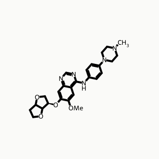 COc1cc2c(Nc3ccc(N4CCN(C)CC4)cc3)ncnc2cc1O[C@@H]1COC2CCOC21